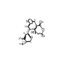 O=c1[nH]c2c(c(=O)o1)COCC2c1ccc(F)cc1